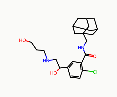 O=C(NCC12CC3CC(CC(C3)C1)C2)c1cc([C@@H](O)CNCCCO)ccc1Cl